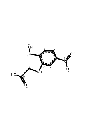 COc1ccc([N+](=O)[O-])cc1NCC(=O)O